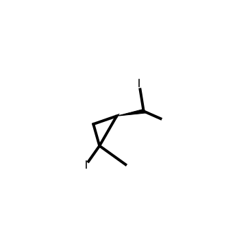 CC(I)[C@@H]1CC1(C)I